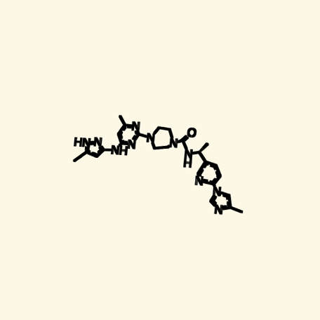 Cc1cn(-c2ccc([C@H](C)NC(=O)N3CCN(c4nc(C)cc(Nc5cc(C)[nH]n5)n4)CC3)cn2)cn1